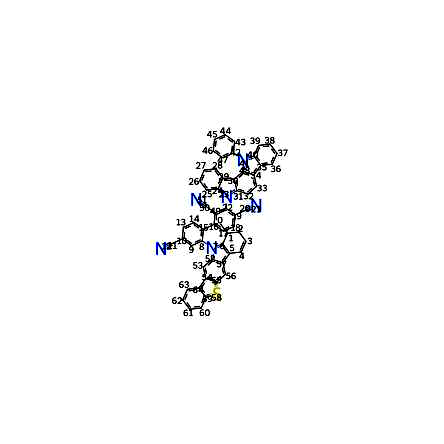 CC1CC=Cc2c1n(-c1cc(C#N)ccc1-c1ccc(C#N)c(-n3c4ccccc4c4c3ccc3c5ccccc5n(-c5ccccc5)c34)c1C#N)c1cc3c(cc21)sc1ccccc13